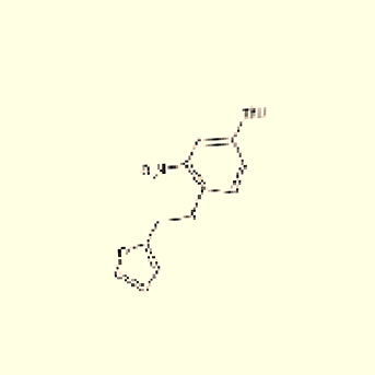 CC(C)(C)c1ccc(SCc2ccco2)c([N+](=O)[O-])c1